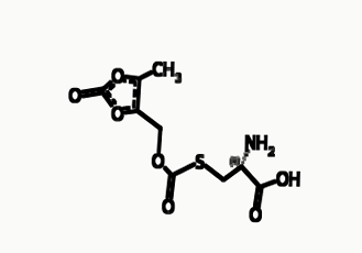 Cc1oc(=O)oc1COC(=O)SC[C@H](N)C(=O)O